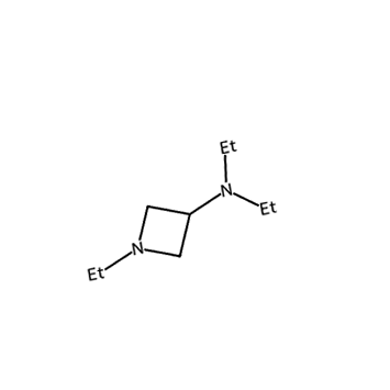 CCN1CC(N(CC)CC)C1